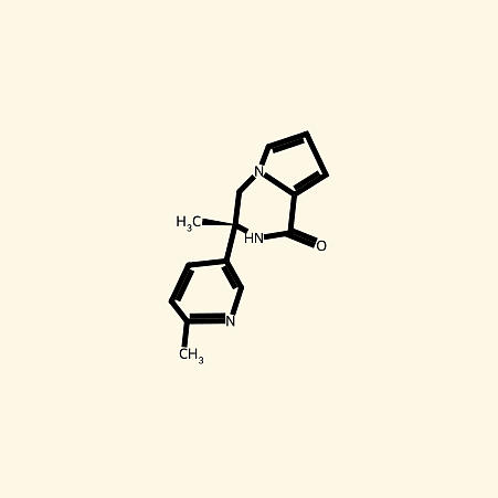 Cc1ccc([C@]2(C)Cn3cccc3C(=O)N2)cn1